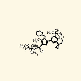 CSNC(C)(C)CNC(=O)c1cc(-c2cc(C(C)(C)C)c3c(c2)C2(CCO3)CC2)n(CC2CCCCC2)c1C